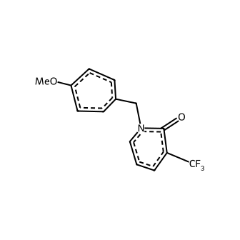 COc1ccc(Cn2cccc(C(F)(F)F)c2=O)cc1